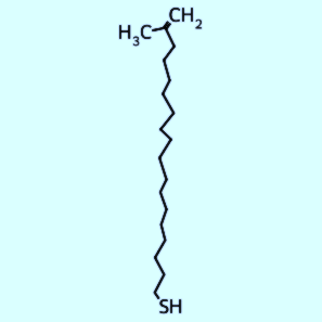 C=C(C)CCCCCCCCCCCCCCCCS